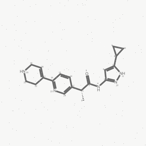 C[C@@H](C(=O)Nc1cc(C2CC2)[nH]n1)c1ccc(C2=CCNCC2)nc1